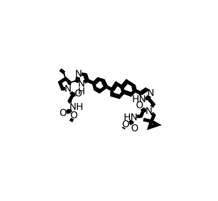 CC[C@@H]1CCN(C(=O)CNC(=O)OC)[C@@H]1c1ncc(-c2ccc(-c3ccc4cc(-c5cnc(CN(CC6(C)CC6)C(=O)CNC(=O)OC)[nH]5)ccc4c3)cc2)[nH]1